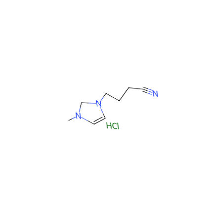 CN1C=CN(CCCC#N)C1.Cl